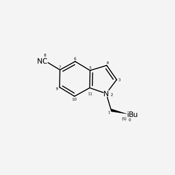 CC[C@H](C)Cn1ccc2cc(C#N)ccc21